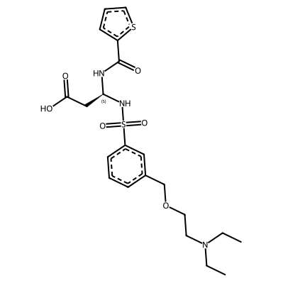 CCN(CC)CCOCc1cccc(S(=O)(=O)N[C@@H](CC(=O)O)NC(=O)c2cccs2)c1